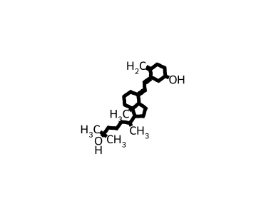 C=C1CCC(O)CC1=CC=C1CCCC2(C)C1CCC2C(C)CCCC(C)(C)O